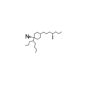 CCCCC(CCC)C1(C#N)CCC(CCCC(I)CCC)CC1